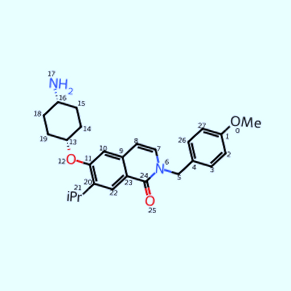 COc1ccc(Cn2ccc3cc(O[C@H]4CC[C@@H](N)CC4)c(C(C)C)cc3c2=O)cc1